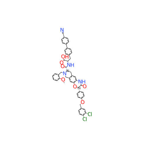 COc1ccccc1CN1Cc2cc3c(cc2C[C@H]1C(=O)NC(Cc1ccc(-c2ccc(C#N)cc2)cc1)C(=O)O)NC(=O)[C@H](c1ccc(OCc2ccc(Cl)c(Cl)c2)cc1)O3